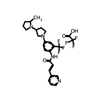 CC1CCCN1C1CCN(c2ccc(NC(=O)C=Cc3cccnc3)c(C(F)(F)F)c2)C1.O=C(O)C(F)(F)F